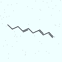 [CH]=C/C=C/CC=CCCC